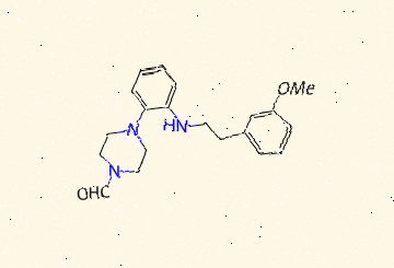 COc1cccc(CCNc2ccccc2N2CCN(C=O)CC2)c1